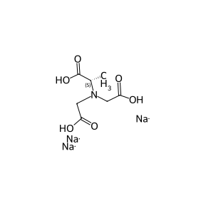 C[C@@H](C(=O)O)N(CC(=O)O)CC(=O)O.[Na].[Na].[Na]